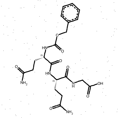 NC(=O)CC[C@H](NC(=O)OCc1ccccc1)C(=O)N[C@@H](CCC(N)=O)C(=O)NCC(=O)O